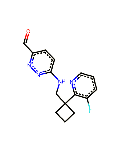 O=Cc1ccc(NCC2(c3ncccc3F)CCC2)nn1